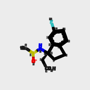 CC(C)(C)[S+]([O-])N[C@]1(CC(=O)O)CCc2ccc(F)cc21